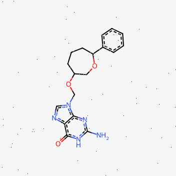 Nc1nc2c(ncn2COC2CCCC(c3ccccc3)OC2)c(=O)[nH]1